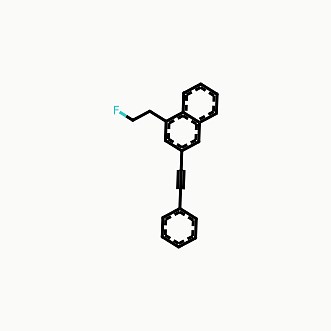 FCCc1cc(C#Cc2ccccc2)cc2ccccc12